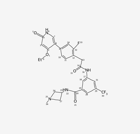 CCOc1cc(=O)[nH]cc1-c1ccc(CC(=O)Nc2cc(C(=O)NC3CN(C)C3)cc(C(F)(F)F)c2)c(F)c1